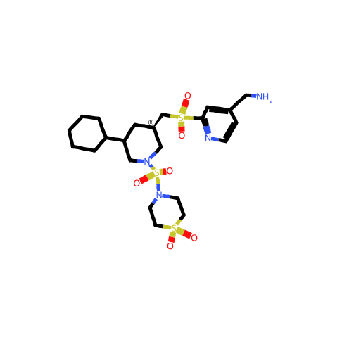 NCc1ccnc(S(=O)(=O)C[C@@H]2CC(C3CCCCC3)CN(S(=O)(=O)N3CCS(=O)(=O)CC3)C2)c1